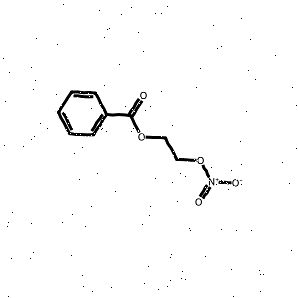 O=C(OCCO[N+](=O)[O-])c1cc[c]cc1